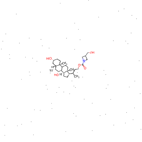 CC[C@H]1[C@@H](O)C2C(CC[C@]3(C)[C@@H]([C@H](C)CCOC(=O)N4CC(CO)C4)CC[C@@H]23)[C@@]2(C)CC[C@@H](O)C[C@@H]12